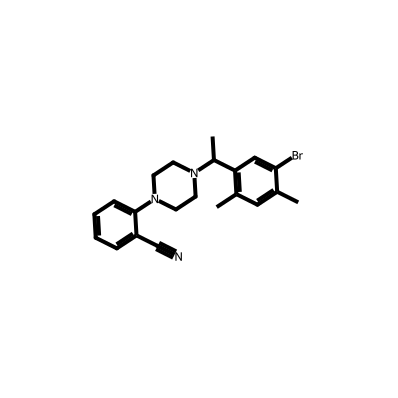 Cc1cc(C)c(C(C)N2CCN(c3ccccc3C#N)CC2)cc1Br